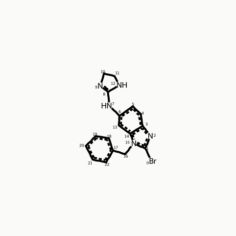 Brc1nc2ccc(NC3=NCCN3)cc2n1Cc1ccccc1